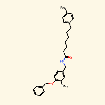 COc1ccc(CCCCCCC(=O)NCc2ccc(OCc3ccccc3)c(OC)c2)cc1